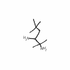 CC(C)(C)CC(N)C(C)(C)N